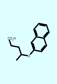 CC(CCC(=O)O)Oc1ccc2ccccc2c1